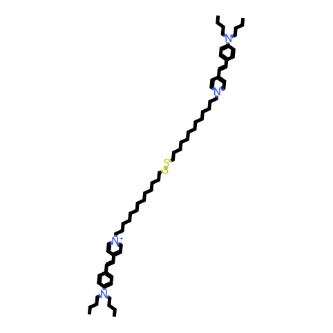 CCCCN(CCCC)c1ccc(/C=C/c2cc[n+](CCCCCCCCCCCCCSSCCCCCCCCCCCCC[n+]3ccc(/C=C/c4ccc(N(CCCC)CCCC)cc4)cc3)cc2)cc1